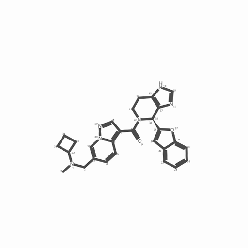 CN(Cc1ccc2c(C(=O)N3CCc4[nH]cnc4[C@H]3c3cc4ccccc4o3)cnn2c1)C1CCC1